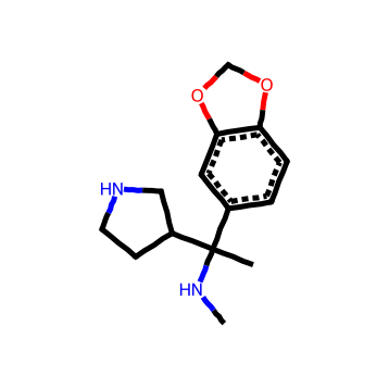 CNC(C)(c1ccc2c(c1)OCO2)C1CCNC1